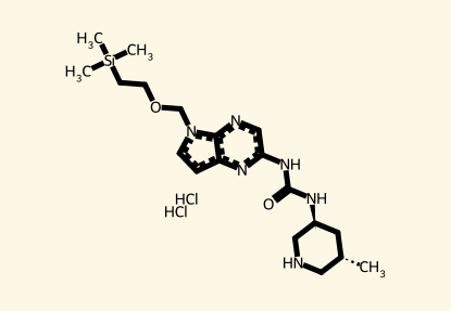 C[C@@H]1CNC[C@@H](NC(=O)Nc2cnc3c(ccn3COCC[Si](C)(C)C)n2)C1.Cl.Cl